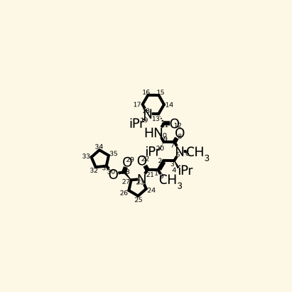 C/C(=C\[C@H](C(C)C)N(C)C(=O)[C@@H](NC(=O)[C@H]1CCCCN1C(C)C)C(C)C)C(=O)N1CCC[C@H]1C(=O)OC1CCCC1